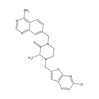 CC1C(=O)N(Cc2ccc3c(N)ncnc3c2)CCN1Cc1cc2ccc(Cl)nc2s1